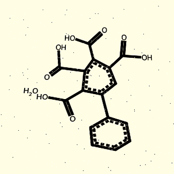 O.O=C(O)c1cc(-c2ccccc2)c(C(=O)O)c(C(=O)O)c1C(=O)O